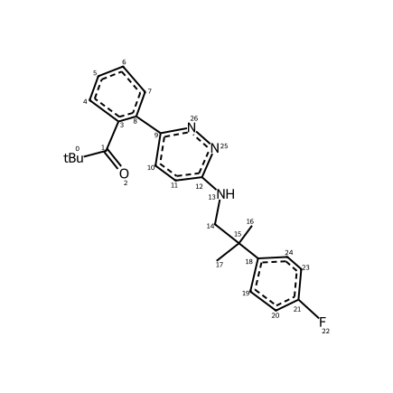 CC(C)(C)C(=O)c1ccccc1-c1ccc(NCC(C)(C)c2ccc(F)cc2)nn1